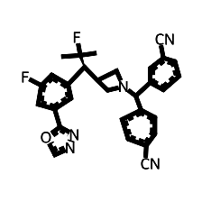 CC(C)(F)[C@H](c1cc(F)cc(-c2nnco2)c1)C1CN(C(c2ccc(C#N)cc2)c2cccc(C#N)c2)C1